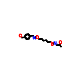 CC(=O)/C=N/OCCCCCCO/N=C/c1ccc(C=O)cc1